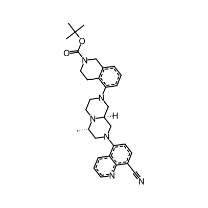 C[C@H]1CN(c2ccc(C#N)c3ncccc23)C[C@@H]2CN(c3cccc4c3CCN(C(=O)OC(C)(C)C)C4)CCN21